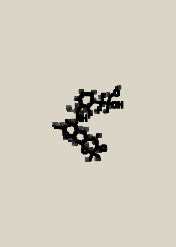 COCC(C)(O)C(F)(F)c1cccc([C@@H](C)Nc2nc(C)nc3cc4c(cc23)N(C)C(=O)C(C)(C)O4)c1F